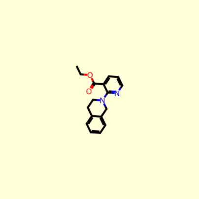 CCOC(=O)c1cccnc1N1CCc2ccccc2C1